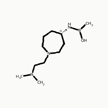 CB(O)N[C@H]1CCCN(CCN(C)C)CC1